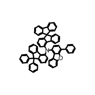 c1ccc(-c2ccc(N(c3cccc4c3-c3ccccc3C4(c3ccccc3)c3ccccc3)c3cccc4c3-c3ccccc3C43c4ccccc4-c4ccccc43)c3c2oc2ccccc23)cc1